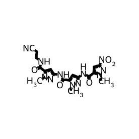 Cn1nc(NC(=O)c2cc(NC(=O)c3cc([N+](=O)[O-])nn3C)nn2C)cc1C(=O)NCCC#N